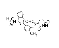 CC(=O)N(C)c1nc(-c2ccc(C)c(CN(C=O)C3CCC(=O)NC3=O)c2)cc2ccccc12